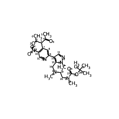 CC(=O)C(C(C)=O)c1cc(-c2cnn(C)c2CN(C)CCN(C)C(=O)OC(C)(C)C)ncc1[N+](=O)[O-]